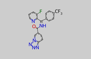 O=C(N[C@@H](c1ccc(C(F)(F)F)cc1)c1ncccc1F)c1ccc2nnnn2c1